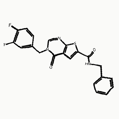 O=C(NCc1ccccc1)c1cc2c(=O)n(Cc3ccc(F)c(F)c3)cnc2s1